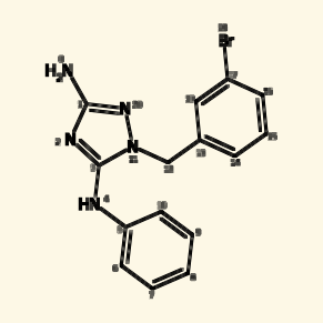 Nc1nc(Nc2ccccc2)n(Cc2cccc(Br)c2)n1